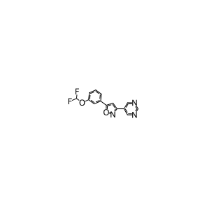 FC(F)Oc1cccc(-c2cc(-c3cncnc3)no2)c1